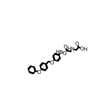 O=C(O)CNCC(=O)OBc1ccc(OCc2ccc(Oc3ccccc3)cc2)cc1